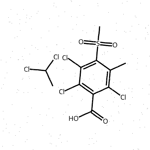 CC(Cl)Cl.Cc1c(Cl)c(C(=O)O)c(Cl)c(Cl)c1S(C)(=O)=O